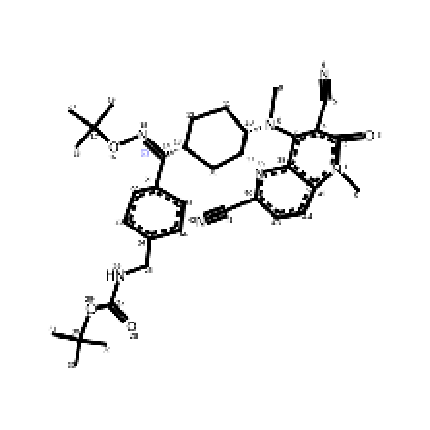 Cn1c(=O)c(C#N)c(N(C)[C@H]2CC[C@@H](/C(=N/OC(C)(C)C)c3ccc(CNC(=O)OC(C)(C)C)cc3)CC2)c2nc(C#N)ccc21